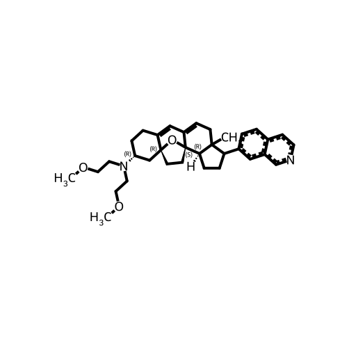 COCCN(CCOC)[C@@H]1CCC2=CC3=CCC4(C)C(c5ccc6ccncc6c5)CC[C@H]4[C@@]34CC[C@]2(C1)O4